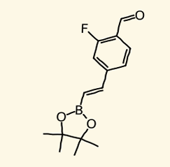 CC1(C)OB(/C=C/c2ccc(C=O)c(F)c2)OC1(C)C